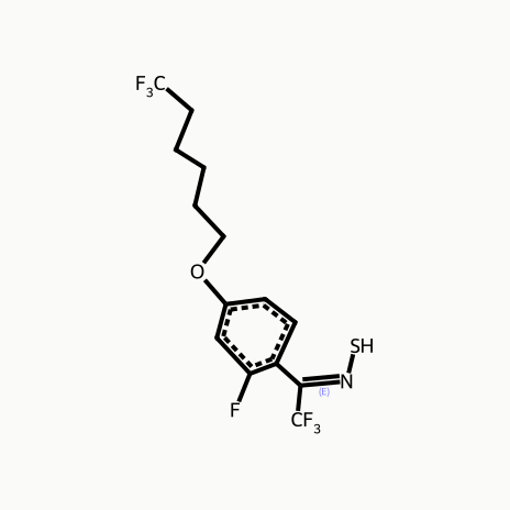 Fc1cc(OCCCCCC(F)(F)F)ccc1/C(=N\S)C(F)(F)F